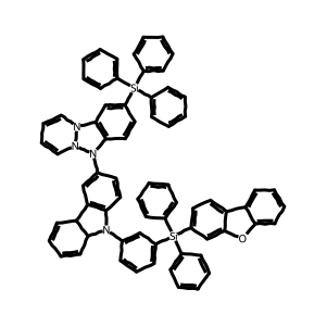 C1=CC2c3cc(N4c5ccc([Si](c6ccccc6)(c6ccccc6)c6ccccc6)cc5N5C=CC=CN54)ccc3N(c3cccc([Si](c4ccccc4)(c4ccccc4)c4ccc5c(c4)oc4ccccc45)c3)C2C=C1